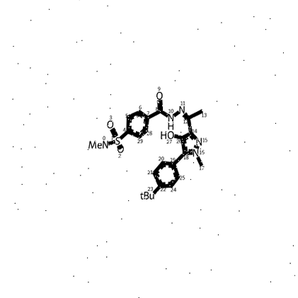 CNS(=O)(=O)c1ccc(C(=O)NN=C(C)c2nn(C)c(-c3ccc(C(C)(C)C)cc3)c2O)cc1